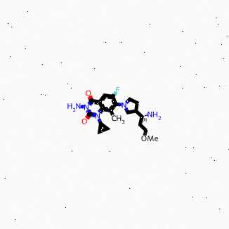 COCC[C@@H](N)C1CCN(c2c(F)cc3c(=O)n(N)c(=O)n(C4CC4)c3c2C)C1